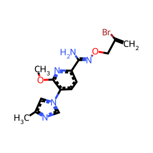 C=C(Br)CO/N=C(\N)c1ccc(-n2cnc(C)c2)c(OC)n1